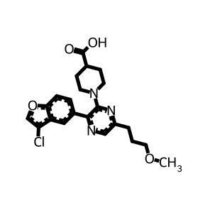 COCCCc1cnc(-c2ccc3occ(Cl)c3c2)c(N2CCC(C(=O)O)CC2)n1